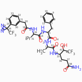 CC(NC(=O)C(Cc1ccccc1)NC(=O)C(NC(=O)Cc1cccc(C2(C(F)(F)F)N=N2)c1)C(C)C)C(=O)NC(CCC(N)=O)C(O)C(F)(F)F